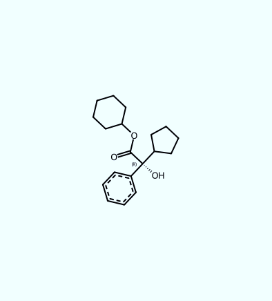 O=C(OC1CCCCC1)[C@](O)(c1ccccc1)C1CCCC1